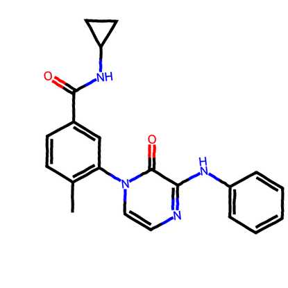 Cc1ccc(C(=O)NC2CC2)cc1-n1ccnc(Nc2ccccc2)c1=O